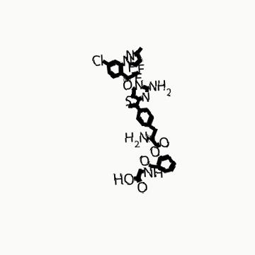 Cc1ccn(-c2cc(Cl)ccc2[C@@H](Oc2nc(N)nc3c(-c4ccc(C[C@H](N)C(=O)Oc5ccccc5C(=O)NCC(=O)O)cc4)csc23)C(F)(F)F)n1